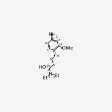 CCN(CC)[C@H](O)CCOc1ccc(N)cc1OC